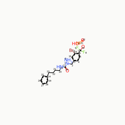 NN(Cc1ccc(C(F)(F)O[PH](=O)O)c(Br)c1)C(=O)NCCCCc1ccccc1